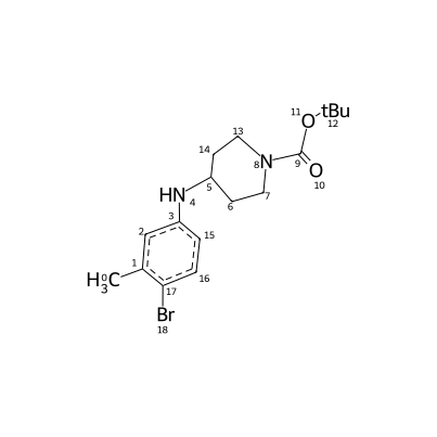 Cc1cc(NC2CCN(C(=O)OC(C)(C)C)CC2)ccc1Br